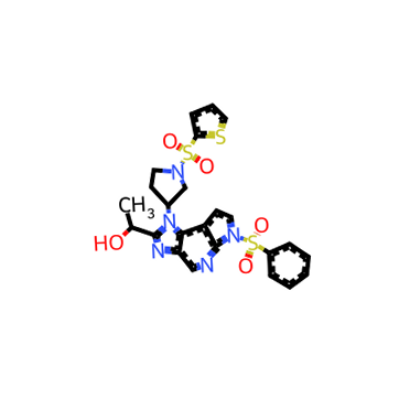 CC(O)c1nc2cnc3c(ccn3S(=O)(=O)c3ccccc3)c2n1C1CCN(S(=O)(=O)c2cccs2)C1